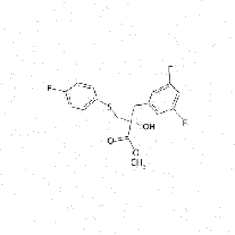 COC(=O)[C@@](O)(CSc1ccc(F)cc1)Cc1cc(F)cc(F)c1